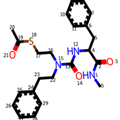 CNC(=O)C(Cc1ccccc1)NC(=O)N(CCSC(C)=O)CCc1ccccc1